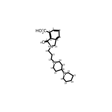 O=C(O)c1cccc2c1C(=O)N(CCCN1CCC(N3CCCCC3)CC1)C2